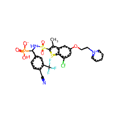 Cc1c(S(=O)(=O)NC(c2ccc(C#N)c(C(F)(F)F)c2)P(=O)([O-])O)sc2c(Cl)cc(OCC[n+]3ccccc3)cc12